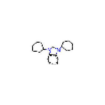 c1ccc2c(c1)N(C1CCCCC1)CN2C1CCCCC1